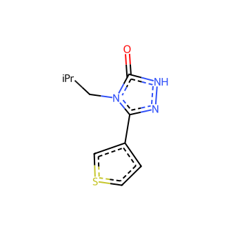 CC(C)Cn1c(-c2ccsc2)n[nH]c1=O